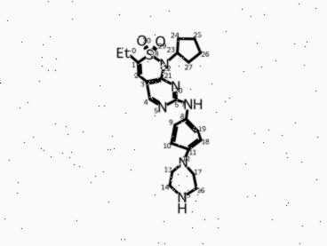 CCC1=Cc2cnc(Nc3ccc(N4CCNCC4)cc3)nc2N(C2CCCC2)S1(=O)=O